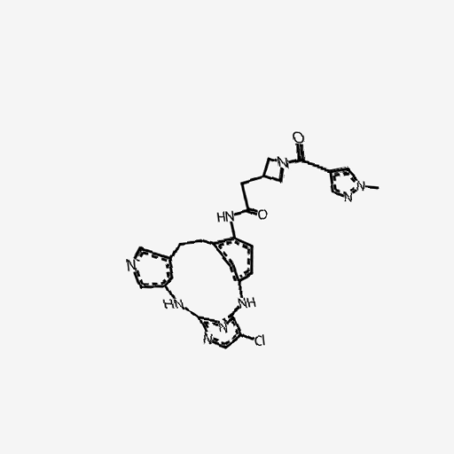 Cn1cc(C(=O)N2CC(CC(=O)Nc3ccc4cc3CCc3cncc(c3)Nc3ncc(Cl)c(n3)N4)C2)cn1